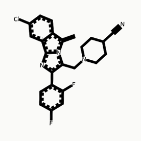 C=c1c2ccc(Cl)cc2c2nc(-c3ccc(F)cc3F)c(CN3CCC(C#N)CC3)n12